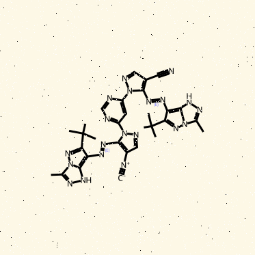 [C-]#[N+]c1cnn(-c2cc(-n3ncc(C#N)c3/N=N/c3c(C(C)(C)C)nn4c(C)n[nH]c34)ncn2)c1/N=N/c1c(C(C)(C)C)nn2c(C)n[nH]c12